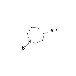 SC1CCCN(S)CC1